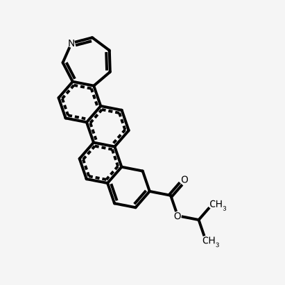 CC(C)OC(=O)C1=CC=c2ccc3c(ccc4c5c(ccc43)=CN=CC=C5)c2C1